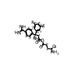 N=C(N)c1ccc(C(N)(CC(=O)OC(=O)CCC(N)=O)c2cc(F)cc(F)c2)cc1